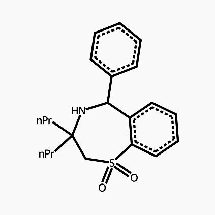 CCCC1(CCC)CS(=O)(=O)c2ccccc2C(c2ccccc2)N1